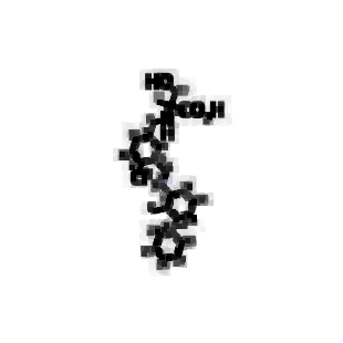 Cc1c(/C=C/c2cc(CNC(C)(CO)C(=O)O)ccc2C(F)(F)F)cccc1-c1ccccc1